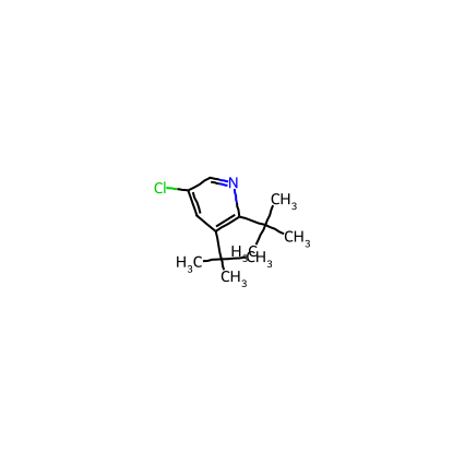 CC(C)(C)c1cc(Cl)cnc1C(C)(C)C